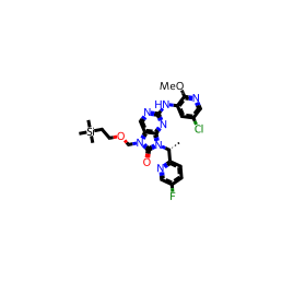 COc1ncc(Cl)cc1Nc1ncc2c(n1)n([C@H](C)c1ccc(F)cn1)c(=O)n2COCC[Si](C)(C)C